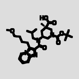 COCCCCc1c(C(=O)N(CC(C)C)[C@@H]2CN(C(=O)OC(C)(C)C)C[C@](C)(C(=O)O)C2)nc2ccccn12